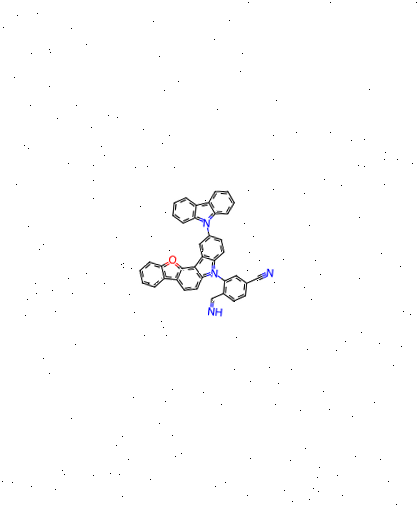 N#Cc1ccc(C=N)c(-n2c3ccc(-n4c5ccccc5c5ccccc54)cc3c3c4oc5ccccc5c4ccc32)c1